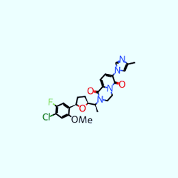 COc1cc(Cl)c(F)cc1[C@H]1CC[C@@H]([C@H](C)N2CCn3c(ccc(-n4cnc(C)c4)c3=O)C2=O)O1